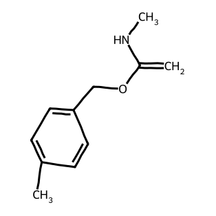 C=C(NC)OCc1ccc(C)cc1